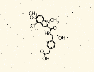 COc1ccc2c(cc(C(=O)N[C@H](CO)c3ccc(CC(=O)O)cc3)n2C)c1Cl